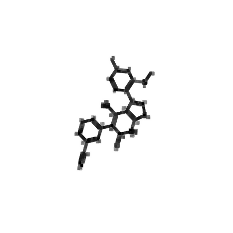 COc1cc(C)ccc1-c1csc2[nH]c(=O)c(-c3cccc(C#N)c3)c(O)c12